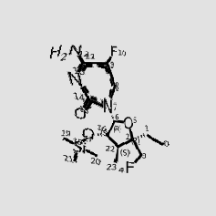 CC[C@@]1(CF)O[C@@H](n2cc(F)c(N)nc2=O)[C@@H](O[Si](C)(C)C)[C@@H]1C